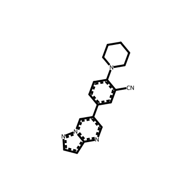 N#Cc1cc(-c2cnc3ccnn3c2)ccc1N1CCCCC1